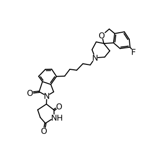 O=C1CCC(N2Cc3c(CCCCCN4CCC5(CC4)OCc4ccc(F)cc45)cccc3C2=O)C(=O)N1